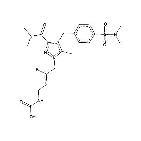 Cc1c(Cc2ccc(S(=O)(=O)N(C)C)cc2)c(C(=O)N(C)C)nn1CC(F)=CCNC(=O)O